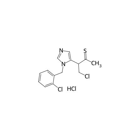 CC(=S)C(CCl)c1cncn1Cc1ccccc1Cl.Cl